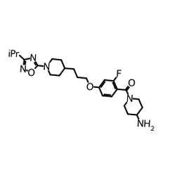 CC(C)c1noc(N2CCC(CCCOc3ccc(C(=O)N4CCC(N)CC4)c(F)c3)CC2)n1